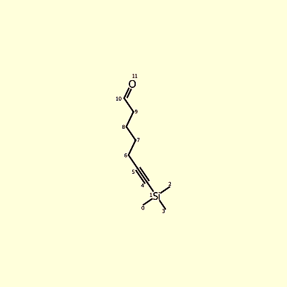 C[Si](C)(C)C#CCCCCC=O